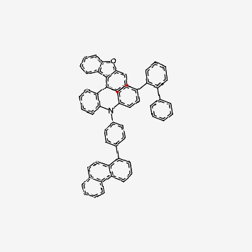 c1ccc(-c2ccccc2-c2ccc(N(c3ccc(-c4cccc5c4ccc4ccccc45)cc3)c3ccccc3-c3cccc4oc5ccccc5c34)cc2)cc1